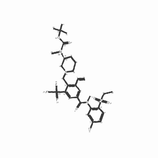 C=Cc1cc(C(=O)N(C)c2cc(Cl)ccc2S(=O)(=O)CC)cc(C(F)(F)F)c1CN1CCC[C@H](N(C)C(=O)OC(C)(C)C)C1